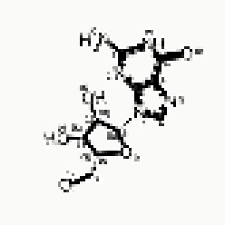 Nc1nc2c(ncn2[C@@H]2O[C@H](CCl)[C@@H](O)[C@H]2O)c(=O)[nH]1